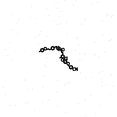 Cc1ccc(OCCCc2ccc(CN3CCN(C(=O)C=Cc4cc(C)c(Oc5ccc(OCc6ccc(C#N)cc6)cn5)c(Cl)c4)CC3)cc2)cc1